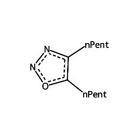 CCCCCc1nnoc1CCCCC